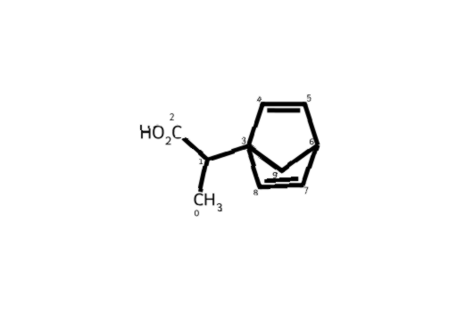 CC(C(=O)O)C12C=CC(C=C1)C2